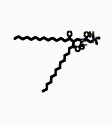 CCCCCCCCCCCCCC(=O)C(C/[P+]([O-])=C(\O)C[N+](C)(C)C)C(=O)CCCCCCCCCCCCC